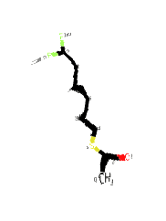 CC(=O)SCCCCCC(F)F